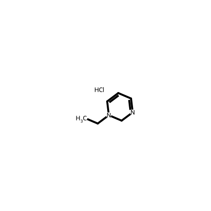 CCN1C=CC=NC1.Cl